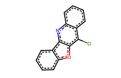 Clc1c2ccccc2nc2c1oc1ccccc12